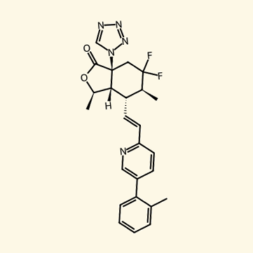 Cc1ccccc1-c1ccc(/C=C/[C@@H]2[C@@H]3[C@@H](C)OC(=O)[C@]3(n3cnnn3)CC(F)(F)[C@H]2C)nc1